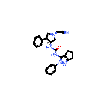 N#CCN1CC(c2ccccc2)[C@H](NC(=O)Nc2c3c(nn2-c2ccccc2)CCC3)C1